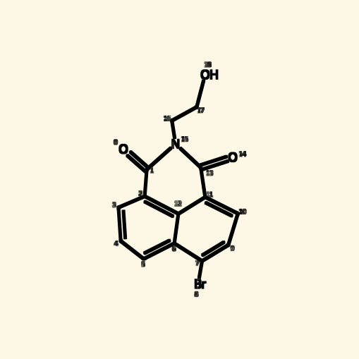 O=C1c2cccc3c(Br)ccc(c23)C(=O)N1CCO